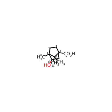 CC12CCC(C(=O)O)(CC1O)C2(C)C